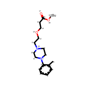 Cc1ccccc1N1CCN(CCOCCC(=O)OC(C)(C)C)CC1